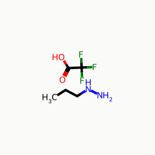 CCCNN.O=C(O)C(F)(F)F